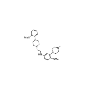 COc1ccc(NCCN2CCN(c3ccccc3OC)CC2)cc1N1CCN(C)CC1